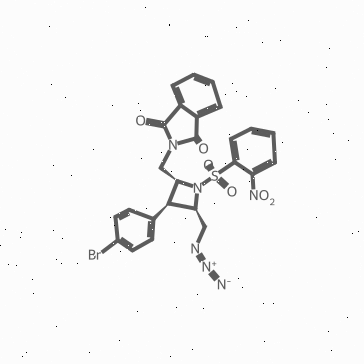 [N-]=[N+]=NC[C@H]1[C@@H](c2ccc(Br)cc2)[C@@H](CN2C(=O)c3ccccc3C2=O)N1S(=O)(=O)c1ccccc1[N+](=O)[O-]